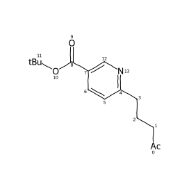 CC(=O)CCCc1ccc(C(=O)OC(C)(C)C)cn1